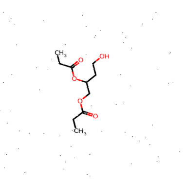 CCC(=O)OCC(CCO)OC(=O)CC